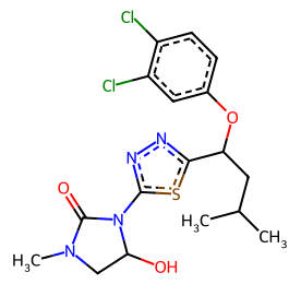 CC(C)CC(Oc1ccc(Cl)c(Cl)c1)c1nnc(N2C(=O)N(C)CC2O)s1